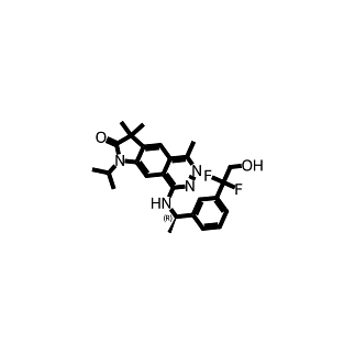 Cc1nnc(N[C@H](C)c2cccc(C(F)(F)CO)c2)c2cc3c(cc12)C(C)(C)C(=O)N3C(C)C